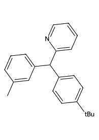 Cc1cccc(C(c2ccc(C(C)(C)C)cc2)c2ccccn2)c1